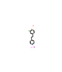 COCOc1ccc(C=Cc2ccc([N+](=O)[O-])cc2)cc1Cl